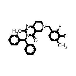 Cc1ccc(CN2CCc3nc(C)n(C(c4ccccc4)c4ccccc4)c(=O)c3C2)c(F)c1F